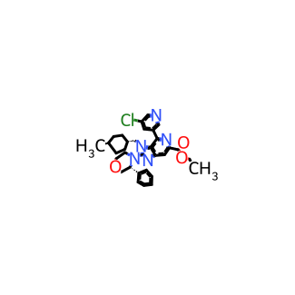 CCOC(=O)c1cc2nc(N3CCOC[C@H]3c3ccccc3)n(C[C@H]3CC[C@H](C)CC3)c2c(-c2cncc(Cl)c2)n1